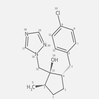 C[C@@H]1CC[C@@H](Cc2ccc(Cl)cc2)[C@@]1(O)Cn1cncn1